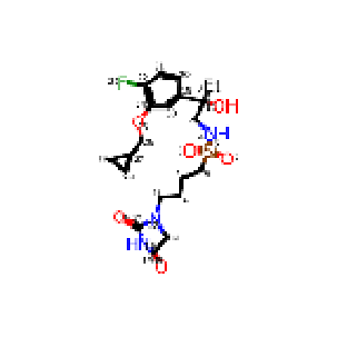 CCC(O)(CNS(=O)(=O)CCCCN1CC(=O)NC1=O)c1ccc(F)c(OCC2CC2)c1